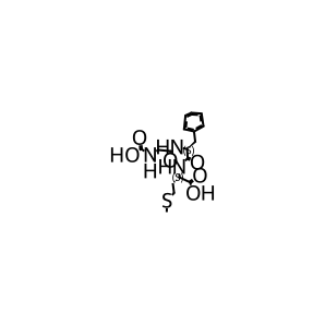 CSCC[C@H](NC(=O)[C@H](Cc1ccccc1)NC(=O)CNC(=O)O)C(=O)O